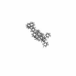 c1ccc(-c2cc(-c3ccccc3)nc(-c3ccc4c(c3)C3(c5cc(-c6ccc(-c7cccc8cccnc78)cc6)ccc5S4)c4ccccc4-c4ccccc43)n2)cc1